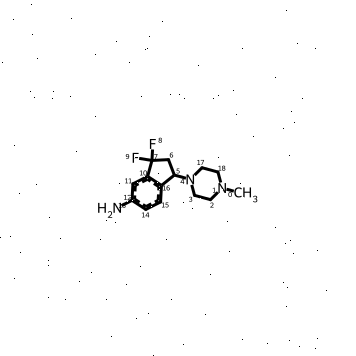 CN1CCN(C2CC(F)(F)c3cc(N)ccc32)CC1